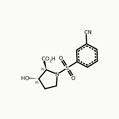 N#Cc1cccc(S(=O)(=O)N2CC[C@H](O)[C@H]2C(=O)O)c1